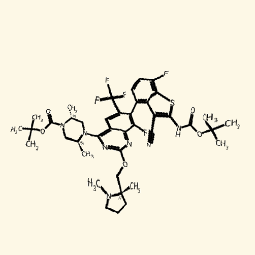 C[C@@H]1CN(c2nc(OC[C@]3(C)CCCN3C)nc3c(F)c(-c4ccc(F)c5sc(NC(=O)OC(C)(C)C)c(C#N)c45)c(C(F)(F)F)cc23)[C@@H](C)CN1C(=O)OC(C)(C)C